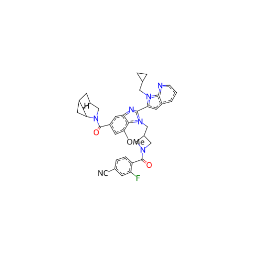 COc1cc(C(=O)N2CC3CC4CC2[C@H]43)cc2nc(-c3cc4cccnc4n3CC3CC3)n(CC3CN(C(=O)c4ccc(C#N)cc4F)C3)c12